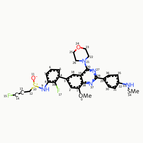 COc1cc(-c2cccc(N[S+]([O-])CCCF)c2F)cc2c(N3CCOCC3)nc(-c3ccc(NSC)cc3)nc12